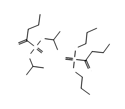 CCCC(=O)P(=O)(OC(C)C)OC(C)C.CCCOP(=O)(OCCC)C(=O)CCC